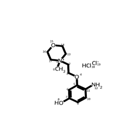 C[N+]1(CCOc2cc(O)ccc2N)CCOCC1.Cl.[Cl-]